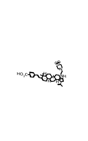 C=C(C)[C@@H]1CC[C@]2(NCCN3CCS(=O)(=O)CC3)CC[C@]3(C)[C@H](CC[C@@H]4[C@@]5(C)CC=C(C=Cc6ccc(C(=O)O)cc6)C(C)(C)[C@@H]5CC[C@]43C)[C@@H]12